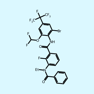 CCN(C(=O)c1ccccc1)c1cccc(C(=O)Nc2c(Br)cc(C(F)(C(F)(F)F)C(F)(F)F)cc2OC(F)F)c1F